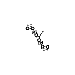 CCCCCC(c1ccc2oc(-c3ccc(O)c(-c4ccccc4)c3)nc2c1)c1ccc2oc(-c3ccc(O)c(-c4ccccc4)c3)nc2c1